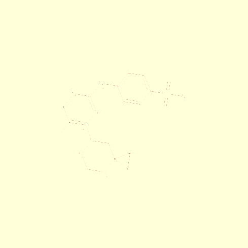 NS(=O)(=O)c1ccc(Nc2ncc(Cl)c(N3CCOC4(CC4)C3)n2)cc1